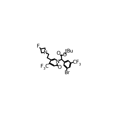 CC(C)(C)OC(=O)C(c1cc(Br)cc(C(F)(F)F)c1)n1cc(CCN2CC(F)C2)c(C(F)(F)F)cc1=O